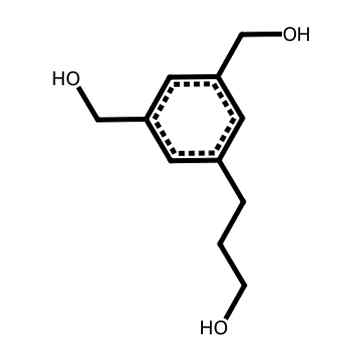 OCCCc1cc(CO)cc(CO)c1